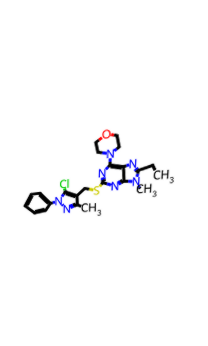 CCc1nc2c(N3CCOCC3)nc(SCc3c(C)nn(-c4ccccc4)c3Cl)nc2n1C